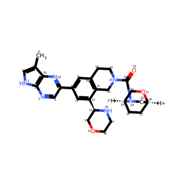 Cc1c[nH]c2ncc(-c3cc4c(c([C@@H]5COCCN5)c3)CN(C(=O)N3C[C@@H]5CC[C@H]3CO5)CC4)nc12